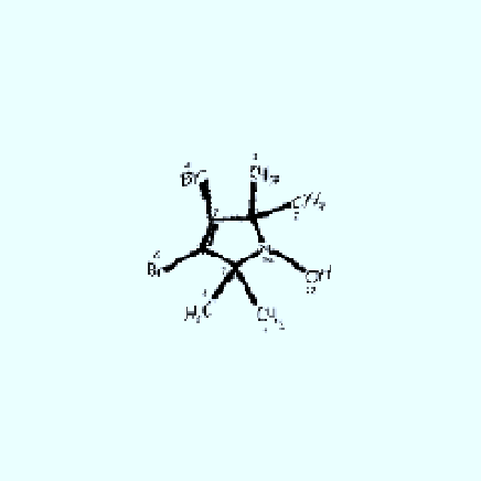 CC1(C)C(Br)=C(Br)C(C)(C)N1O